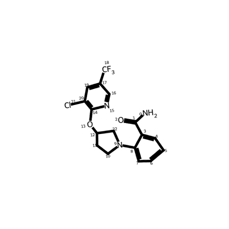 NC(=O)c1ccccc1N1CCC(Oc2ncc(C(F)(F)F)cc2Cl)C1